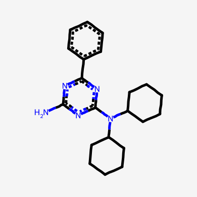 Nc1nc(-c2ccccc2)nc(N(C2CCCCC2)C2CCCCC2)n1